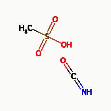 CS(=O)(=O)O.N=C=O